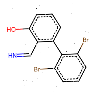 N=Cc1c(O)cccc1-c1c(Br)cccc1Br